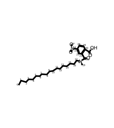 CCCCCCCCCCCCCCCCCCN(C)C(=O)c1cc([N+](=O)[O-])ccc1C(=O)O